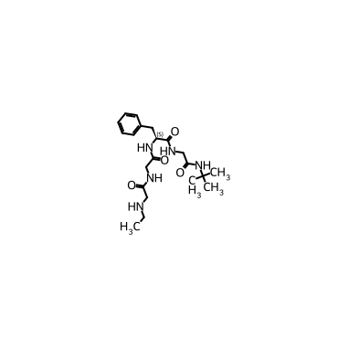 CCNCC(=O)NCC(=O)N[C@@H](Cc1ccccc1)C(=O)NCC(=O)NC(C)(C)C